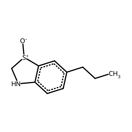 CCCc1ccc2c(c1)[S+]([O-])CN2